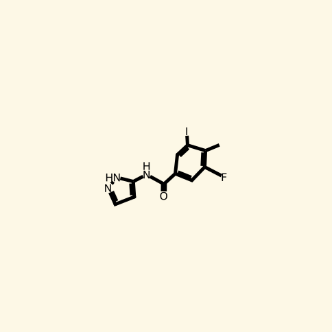 Cc1c(F)cc(C(=O)Nc2ccn[nH]2)cc1I